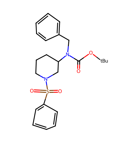 CC(C)(C)OC(=O)N(Cc1ccccc1)C1CCCN(S(=O)(=O)c2ccccc2)C1